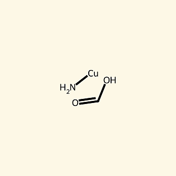 O=CO.[NH2][Cu]